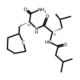 CC(C)CC(=O)N[C@@H](CC(C)C)C(=O)N[C@H](CC1CCCCC1)C(N)=O